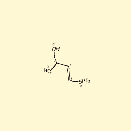 OC(O)C=C[SiH3]